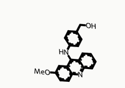 COc1ccc2nc3ccccc3c(Nc3ccc(CO)cc3)c2c1